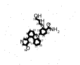 COc1cncc(-c2cccc3c2c2ccccc2n3-c2ccc(C(N)=O)c(NCCCO)c2)c1